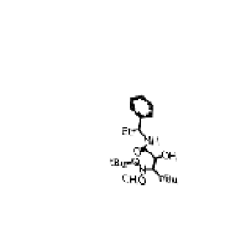 CCCCC(C(O)C(=O)N[C@@H](CC)c1ccccc1)N(C=O)OC(C)(C)C